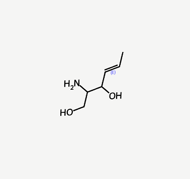 C/C=C/C(O)C(N)CO